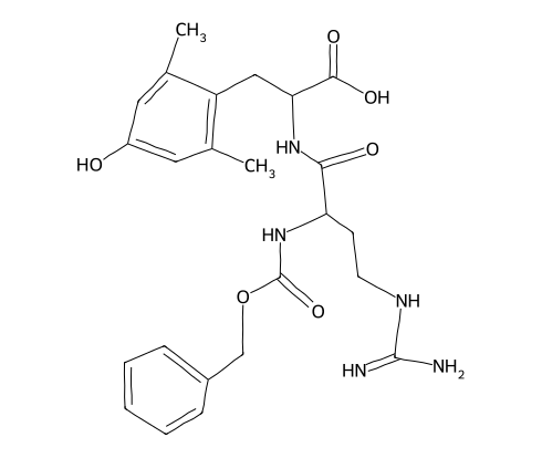 Cc1cc(O)cc(C)c1CC(NC(=O)C(CCNC(=N)N)NC(=O)OCc1ccccc1)C(=O)O